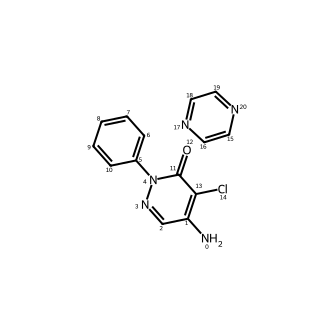 Nc1cnn(-c2ccccc2)c(=O)c1Cl.c1cnccn1